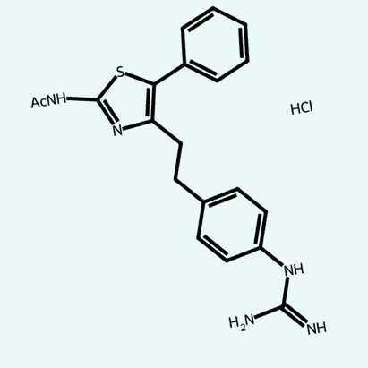 CC(=O)Nc1nc(CCc2ccc(NC(=N)N)cc2)c(-c2ccccc2)s1.Cl